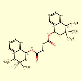 O=C(CCC(=O)OC1CC(C(=O)O)(C(=O)O)C(C(=O)O)c2ccccc21)OC1CC(C(=O)O)(C(=O)O)C(C(=O)O)c2ccccc21